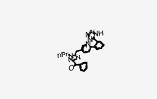 CCCn1nc(C(=O)c2ccccc2)nc1Cc1ccc(-c2ccccc2-c2nnn[nH]2)nc1